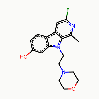 Cc1nc(F)cc2c3ccc(O)cc3n(CCN3CCOCC3)c12